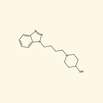 CCCC1CCN(CCCCn2nnc3ccccc32)CC1